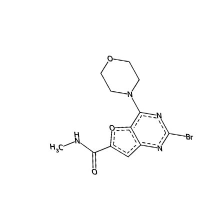 CNC(=O)c1cc2nc(Br)nc(N3CCOCC3)c2o1